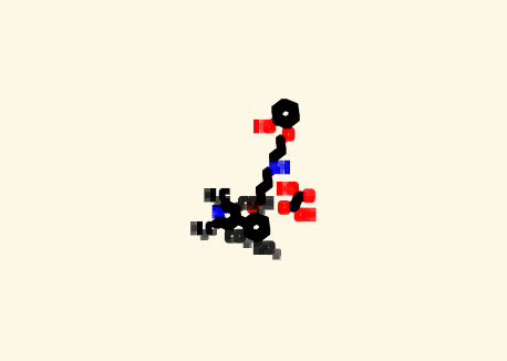 Cc1nc(C)c(C(=O)O)c(-c2cc([N+](=O)[O-])ccc2OCCCCNCCCOc2ccccc2O)c1C(=O)O.O=C(O)C(=O)O